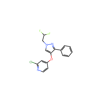 FC(F)Cn1cc(Oc2ccnc(Cl)c2)c(-c2ccccc2)n1